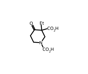 CCC1(C(=O)O)CN(C(=O)O)CCC1=O